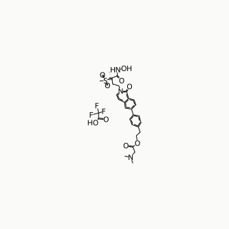 CN(C)CC(=O)OCCc1ccc(-c2ccc3c(=O)n(CC[C@](C)(C(=O)NO)S(C)(=O)=O)ccc3c2)cc1.O=C(O)C(F)(F)F